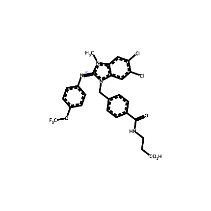 Cn1/c(=N/c2ccc(OC(F)(F)F)cc2)n(Cc2ccc(C(=O)NCCC(=O)O)cc2)c2cc(Cl)c(Cl)cc21